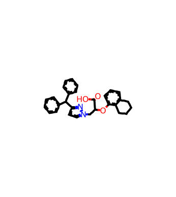 O=C(O)C(Cn1ccc(C(c2ccccc2)c2ccccc2)n1)Oc1cccc2c1CCCC2